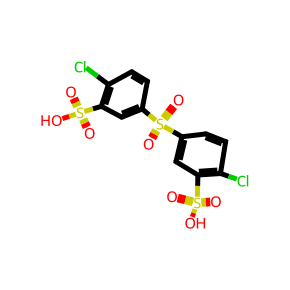 O=S(=O)(O)c1cc(S(=O)(=O)c2ccc(Cl)c(S(=O)(=O)O)c2)ccc1Cl